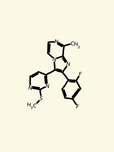 CSc1nccc(-c2c(-c3ccc(F)cc3F)nc3c(C)nccn23)n1